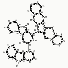 c1ccc2cc3c(cc2c1)c1cc2ccccc2cc1n3-c1nc(-c2cccc3oc4ccccc4c23)nc2c1oc1ccccc12